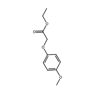 CCOC(=O)COc1ccc(OC)cc1